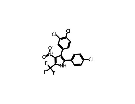 O=[N+]([O-])c1c(C(F)(F)F)[nH]c(-c2ccc(Cl)cc2)c1-c1ccc(Cl)c(Cl)c1